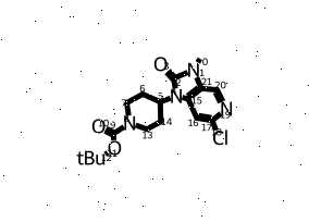 Cn1c(=O)n(C2CCN(C(=O)OC(C)(C)C)CC2)c2cc(Cl)ncc21